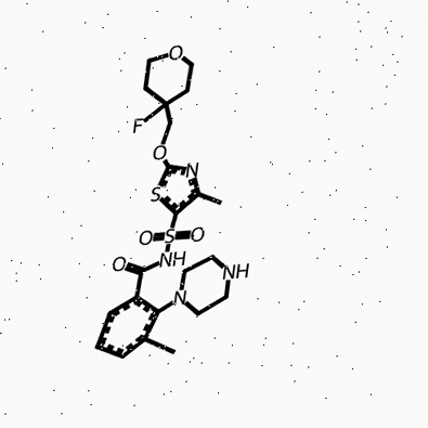 Cc1cccc(C(=O)NS(=O)(=O)c2sc(OCC3(F)CCOCC3)nc2C)c1N1CCNCC1